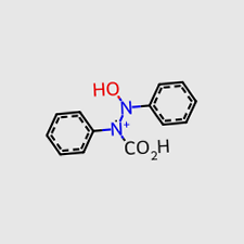 O=C(O)[N+](c1ccccc1)N(O)c1ccccc1